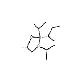 CCC(C)[C@@]1(C(C)C)O[C@@H](C)CN1C(C)C